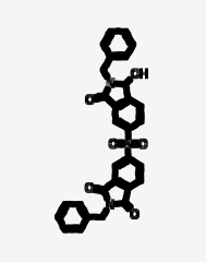 O=C1c2ccc(S(=O)(=O)c3ccc4c(c3)C(=O)N(Cc3ccccc3)C4O)cc2C(=O)N1Cc1ccccc1